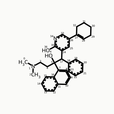 CN(C)CCC(O)(C1=C=C=Cc2ccccc21)C(c1ccccc1)c1cc(C2=CCCCC2)cnc1O